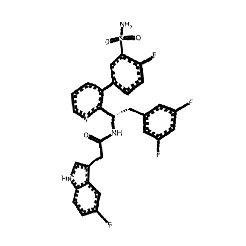 NS(=O)(=O)c1cc(-c2cccnc2[C@H](Cc2cc(F)cc(F)c2)NC(=O)Cc2c[nH]c3ccc(F)cc23)ccc1F